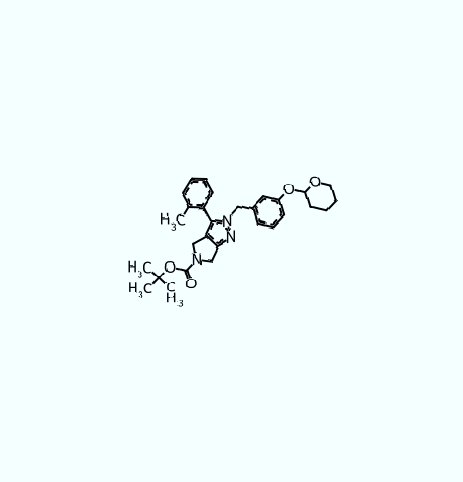 Cc1ccccc1-c1c2c(nn1Cc1cccc(OC3CCCCO3)c1)CN(C(=O)OC(C)(C)C)C2